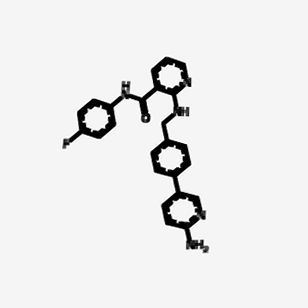 Nc1ccc(-c2ccc(CNc3ncccc3C(=O)Nc3ccc(F)cc3)cc2)cn1